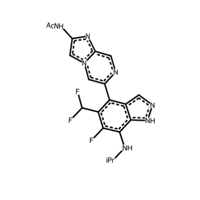 CC(=O)Nc1cn2cc(-c3c(C(F)F)c(F)c(NC(C)C)c4[nH]ncc34)ncc2n1